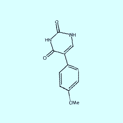 COc1ccc(-c2c[nH]c(=O)[nH]c2=O)cc1